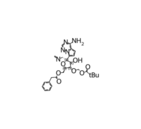 C=NC[C@@]1(c2ccc3c(N)ncnn23)O[C@H](COC(=O)Cc2ccccc2)[C@@H](OCOC(=O)C(C)(C)C)[C@H]1O